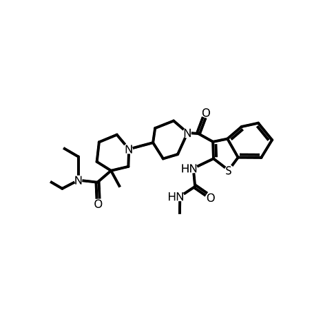 CCN(CC)C(=O)C1(C)CCCN(C2CCN(C(=O)c3c(NC(=O)NC)sc4ccccc34)CC2)C1